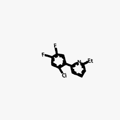 CCc1cccc(-c2cc(F)c(F)cc2Cl)n1